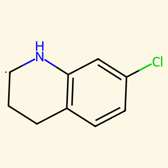 Clc1ccc2c(c1)N[CH]CC2